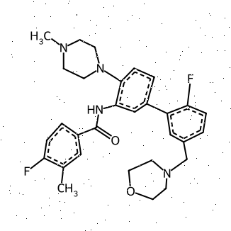 Cc1cc(C(=O)Nc2cc(-c3cc(CN4CCOCC4)ccc3F)ccc2N2CCN(C)CC2)ccc1F